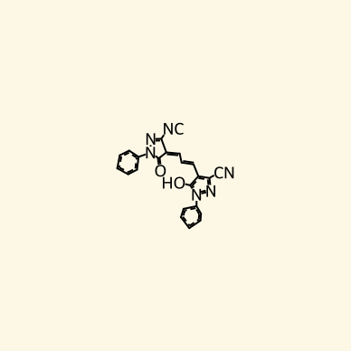 [C-]#[N+]C1=NN(c2ccccc2)C(=O)C1=CC=Cc1c(C#N)nn(-c2ccccc2)c1O